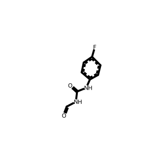 O=CNC(=O)Nc1ccc(F)cc1